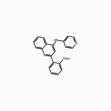 COc1ccccc1-c1cc(Nc2ccncc2)c2ccccc2n1